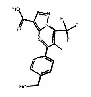 Cc1c(-c2ccc(CO)cc2)nc2c(C(=O)O)cnn2c1C(F)(F)F